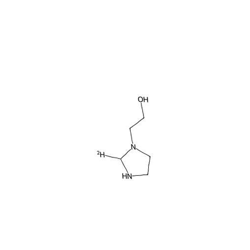 [2H]C1NCCN1CCO